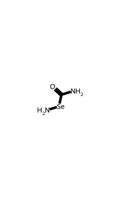 N[Se]C(N)=O